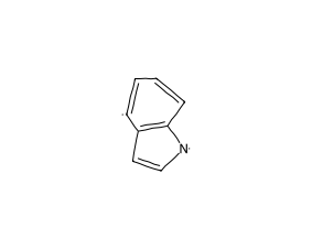 [c]1cccc2c1C=C[N]2